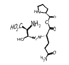 C[C@@H](O)[C@H](N)C(=O)O.NC(=O)CC[C@H](N)C(=O)OC(=O)[C@@H]1CCCN1